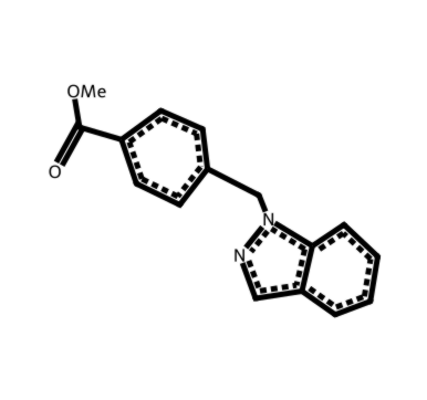 COC(=O)c1ccc(Cn2ncc3ccccc32)cc1